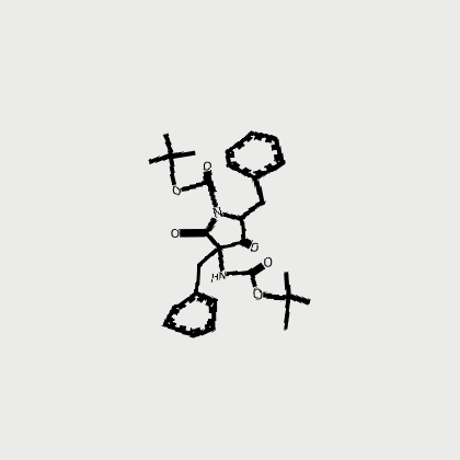 CC(C)(C)OC(=O)NC1(Cc2ccccc2)C(=O)C(Cc2ccccc2)N(C(=O)OC(C)(C)C)C1=O